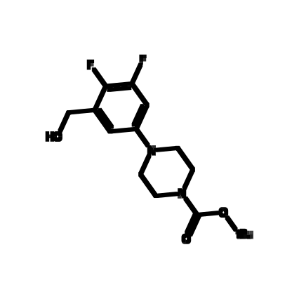 CC(C)(C)OC(=O)N1CCN(c2cc(F)c(F)c(CO)c2)CC1